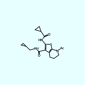 CC(=O)N1CCCc2c1sc(NC(=O)C1CC1)c2C(=O)NCC1CC1